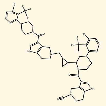 N#CN1CCc2[nH]nc(C(=O)N3CCC(c4cccc(F)c4C(F)(F)F)CC3C3CC3CN3CCc4[nH]nc(C(=O)N5CCC(c6cccc(F)c6C(F)(F)F)CC5)c4C3)c2C1